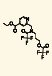 CCOC(=O)c1ccnc(CN(CCCOC(=O)C(F)(F)F)C(=O)C(F)(F)F)c1